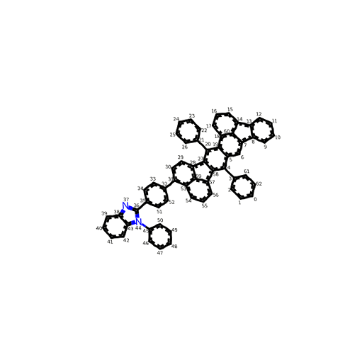 c1ccc(-c2c3cc4c5ccccc5c5cccc(c3c(-c3ccccc3)c3c6ccc(-c7ccc(-c8nc9ccccc9n8-c8ccccc8)cc7)c7cccc(c23)c76)c54)cc1